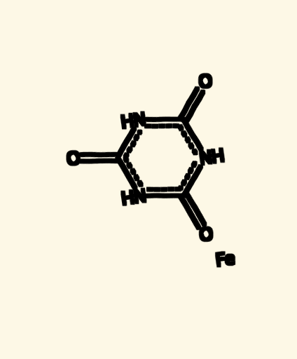 O=c1[nH]c(=O)[nH]c(=O)[nH]1.[Fe]